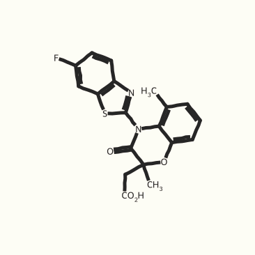 Cc1cccc2c1N(c1nc3ccc(F)cc3s1)C(=O)C(C)(CC(=O)O)O2